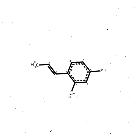 C/C=C/c1ccc(F)cc1C